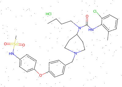 CCCCN(C(=O)Nc1c(C)cccc1Cl)C1CCN(Cc2ccc(Oc3ccc(NS(C)(=O)=O)cc3)cc2)CC1.Cl